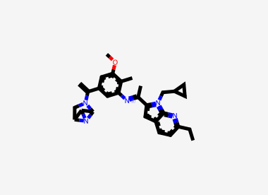 C=C(c1cc(/N=C(\C)c2cc3ccc(CC)nc3n2CC2CC2)c(C)c(OC)c1)N1CC2C3C1N23